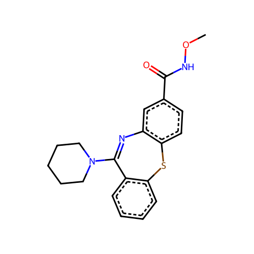 CONC(=O)c1ccc2c(c1)N=C(N1CCCCC1)c1ccccc1S2